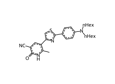 CCCCCCN(CCCCCC)c1ccc(-c2nc(-c3cc(C#N)c(=O)[nH]c3C)cs2)cc1